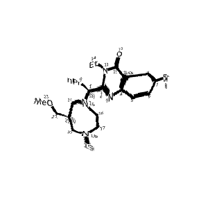 CCC[C@@H](c1nc2ccc(Br)cc2c(=O)n1CC)N1CCN(C)C[C@@H](COC)C1